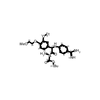 CCOc1cc(C(Nc2ccc(C(=N)N)cc2)C(=O)N(N)C(=O)OC(C)(C)C)ccc1OCCOC